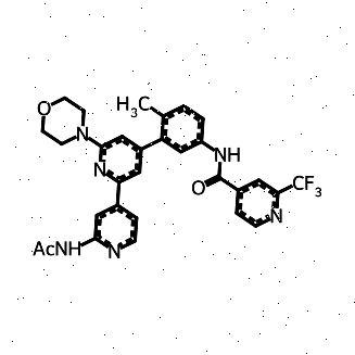 CC(=O)Nc1cc(-c2cc(-c3cc(NC(=O)c4ccnc(C(F)(F)F)c4)ccc3C)cc(N3CCOCC3)n2)ccn1